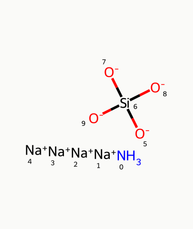 N.[Na+].[Na+].[Na+].[Na+].[O-][Si]([O-])([O-])[O-]